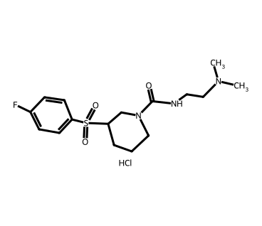 CN(C)CCNC(=O)N1CCCC(S(=O)(=O)c2ccc(F)cc2)C1.Cl